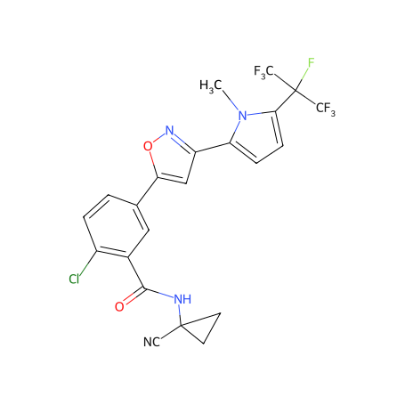 Cn1c(-c2cc(-c3ccc(Cl)c(C(=O)NC4(C#N)CC4)c3)on2)ccc1C(F)(C(F)(F)F)C(F)(F)F